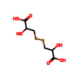 O=C(O)C(O)CSSCC(O)C(=O)O